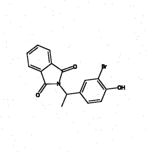 CC(c1ccc(O)c(Br)c1)N1C(=O)c2ccccc2C1=O